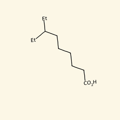 CCC(CC)CCCCCC(=O)O